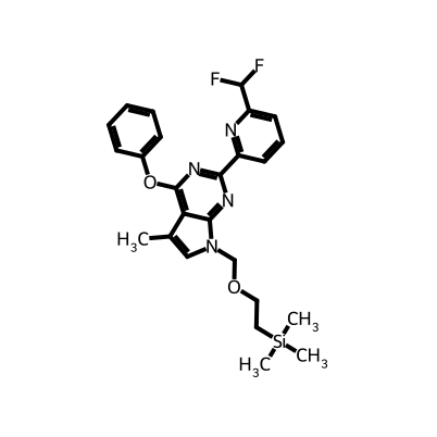 Cc1cn(COCC[Si](C)(C)C)c2nc(-c3cccc(C(F)F)n3)nc(Oc3ccccc3)c12